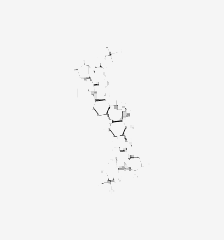 CC(C)(C)OC(=O)N1CCC[C@H]1C(=O)Nc1ccc(-c2ccc(NC(=O)[C@@H]3CCCN3C(=O)OC(C)(C)C)cc2Br)c(Br)c1